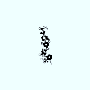 CC(=O)N1CC(N2CCN3c4c(F)cc(Nc5ncc(Cl)c(Nc6ccccc6P(C)(C)=O)n5)cc4OC[C@@H]3C2)C1